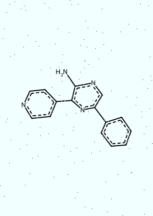 Nc1ncc(-c2ccccc2)nc1-c1ccncc1